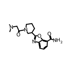 CN(C)CC(=O)N1CCCC(c2nc3cccc(C(N)=O)c3o2)C1